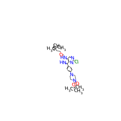 CC(C)(C)OC(=O)N1CCN(c2ccc(C(=N)c3nc(Cl)ncc3NCOCC[Si](C)(C)C)cc2)CC1